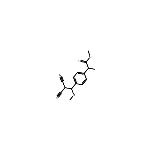 COC(=O)C(C)c1ccc(C(OC)C(C#N)C#N)cc1